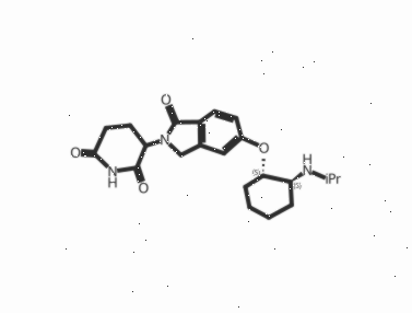 CC(C)N[C@H]1CCCC[C@@H]1Oc1ccc2c(c1)CN(C1CCC(=O)NC1=O)C2=O